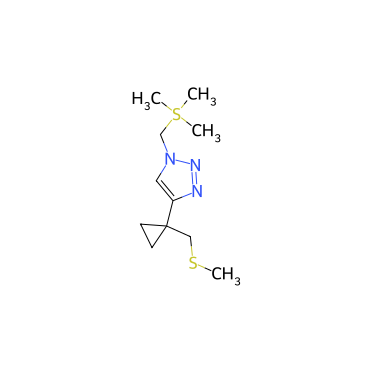 CSCC1(c2cn(CS(C)(C)C)nn2)CC1